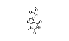 COC(=O)[C@H](C)n1cnc2c1c(=O)[nH]c(=O)n2C